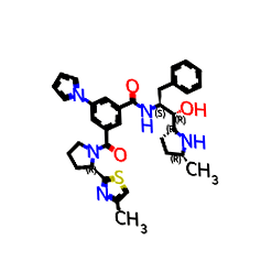 Cc1csc([C@H]2CCCN2C(=O)c2cc(C(=O)N[C@@H](Cc3ccccc3)[C@H](O)[C@H]3CC[C@@H](C)N3)cc(-n3cccc3)c2)n1